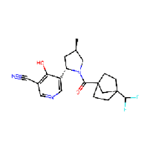 C[C@@H]1C[C@@H](c2cncc(C#N)c2O)N(C(=O)C23CCC(C(F)F)(CC2)C3)C1